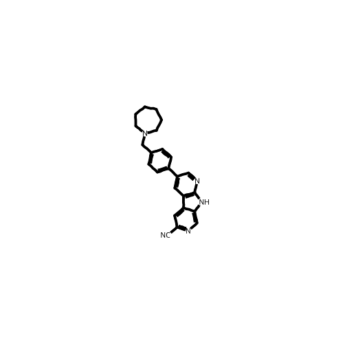 N#Cc1cc2c(cn1)[nH]c1ncc(-c3ccc(CN4CCCCCC4)cc3)cc12